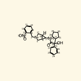 O=C(N[C@H]1C2CN(Cc3ccccc3[N+](=O)[O-])C[C@@H]21)C(O)(c1ccccc1)C1CCCC1